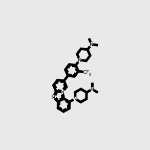 CN(C)C1CCN(c2ccc(-c3ccc4nc5cccc(N6CCC(N(C)C)CC6)c5n4c3)cc2C(F)(F)F)CC1